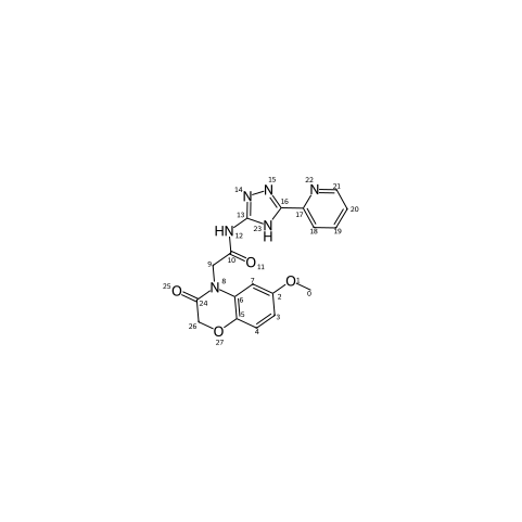 COc1ccc2c(c1)N(CC(=O)Nc1nnc(-c3ccccn3)[nH]1)C(=O)CO2